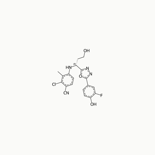 Cc1c(N[C@H](CCO)c2nnc(-c3ccc(O)c(F)c3)o2)ccc(C#N)c1Cl